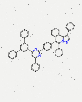 c1ccc(-c2cc(-c3ccccc3)cc(-c3cc(-c4ccccc4)nc(-c4ccc(-c5c(-c6ccccc6)n6ncc(-c7ccccc7)c6c6ccccc56)cc4)n3)c2)cc1